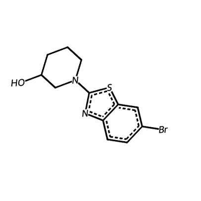 OC1CCCN(c2nc3ccc(Br)cc3s2)C1